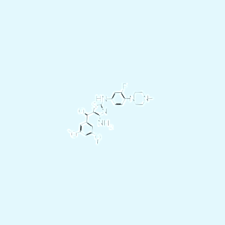 COc1cc(OC)cc(C(=O)c2sc(Nc3ccc(N4CCN(C)CC4)c(F)c3)nc2N)c1